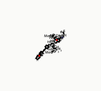 COC(=O)N[C@H](C(=O)N[C@@H](Cc1ccc(C#Cc2ccc(N3CC4CCC(C3)N4C3COC3)nc2)cc1)[C@@H](O)CN(Cc1ccc(C(=N)/C=C\NCC(F)F)cc1)NC(=O)[C@@H](NC(=O)OC)C(C)(C)C(F)(F)F)C(C)(C)C(F)(F)F